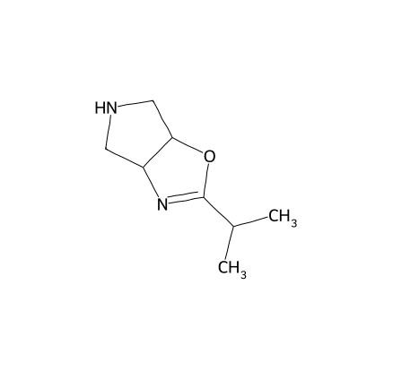 CC(C)C1=NC2CNCC2O1